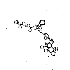 CC(C)(C)C(=O)OCOC(=O)COP(=O)(COC[C@@H]1CC[C@H](n2ccc3c(NC4CCCC4)c(C#N)c(Cl)nc32)O1)Oc1ccccc1